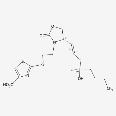 C[C@](O)(C/C=C/[C@H]1COC(=O)N1CCSc1nc(C(=O)O)cs1)CCCC(F)(F)F